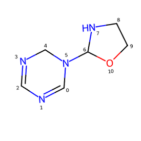 C1=NC=NCN1C1NCCO1